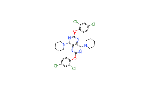 Clc1ccc(Oc2nc(N3CCCCC3)c3nc(Oc4ccc(Cl)cc4Cl)nc(N4CCCCC4)c3n2)c(Cl)c1